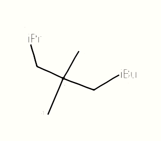 CCC(C)CC(C)(C)CC(C)C